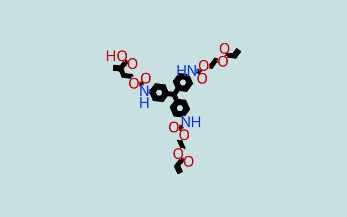 C=CC(=O)OCCOC(=O)Nc1ccc(C(c2ccc(NC(=O)OCCOC(=O)C=C)cc2)c2ccc(NC(=O)OCCC(=C)C(=O)O)cc2)cc1